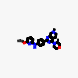 CCCCOc1cccc(Nc2ccc(-c3nc4c(c(N5CCOC[C@@H]5C)n3)CCN(C)C4)cc2)n1